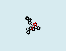 CC1(C)c2ccccc2-c2ccc(N(c3ccc4c(c3)oc3ccccc34)c3ccccc3-c3ccccc3-c3ccccc3-c3ccccc3)cc21